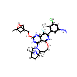 CC12CC(COc3nc4c5c(nc(-c6cc(N)cc(Cl)c6C(F)(F)F)c(F)c5n3)OCC[C@@H]3[C@@H]5CC[C@H](CN43)N5)(CO1)C2